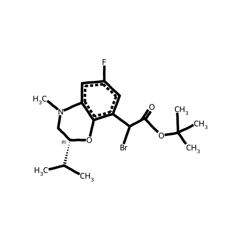 CC(C)[C@@H]1CN(C)c2cc(F)cc(C(Br)C(=O)OC(C)(C)C)c2O1